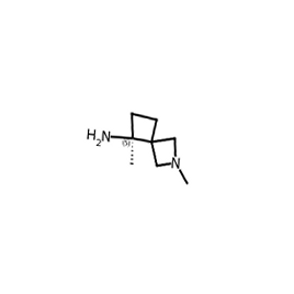 CN1CC2(CC[C@]2(C)N)C1